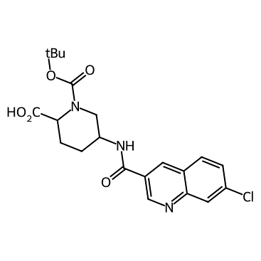 CC(C)(C)OC(=O)N1CC(NC(=O)c2cnc3cc(Cl)ccc3c2)CCC1C(=O)O